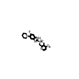 COc1ccnc(C[S+]([O-])c2nc3cc(N4CCCCC4)c(F)cc3[nH]2)c1C